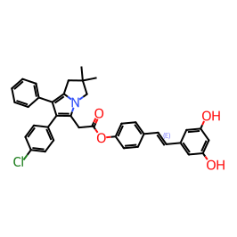 CC1(C)Cc2c(-c3ccccc3)c(-c3ccc(Cl)cc3)c(CC(=O)Oc3ccc(/C=C/c4cc(O)cc(O)c4)cc3)n2C1